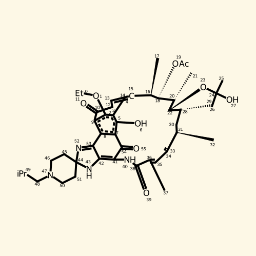 CCOc1c(C)c(O)c2c3c1C(=O)C/C=C/C[C@@H](C)[C@@H](OC(C)=O)[C@H](C)[C@H](OC(C)(C)O)[C@H](C)C[C@@H](C)/C=C/C=C(/C)C(=O)NC(=C1NC4(CCN(CC(C)C)CC4)N=C13)C2=O